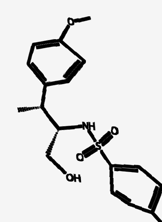 COc1ccc([C@@H](C)[C@@H](CO)NS(=O)(=O)c2ccc(Br)cc2)cc1